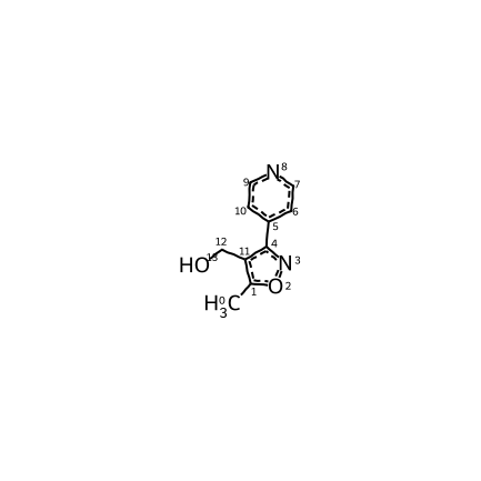 Cc1onc(-c2ccncc2)c1CO